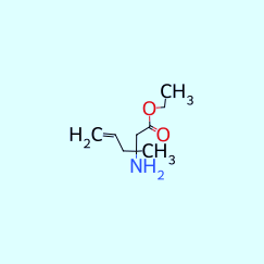 C=CCC(C)(N)CC(=O)OCC